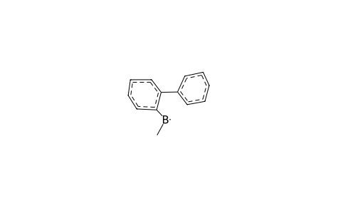 C[B]c1ccccc1-c1ccccc1